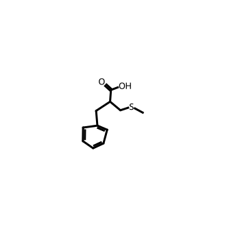 CSCC(Cc1ccccc1)C(=O)O